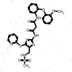 COc1ccccc1Oc1ccccc1NC(=O)CC(=O)Nc1nc(CNS(C)(=O)=O)c(Sc2ccccn2)s1